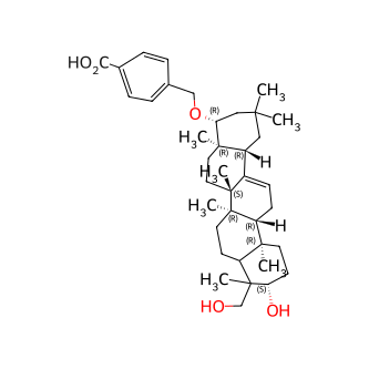 CC1(C)C[C@@H]2C3=CC[C@@H]4[C@@]5(C)CC[C@H](O)C(C)(CO)C5CC[C@@]4(C)[C@]3(C)CC[C@@]2(C)[C@H](OCc2ccc(C(=O)O)cc2)C1